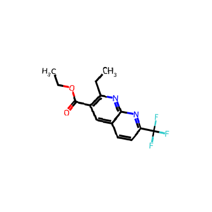 CCOC(=O)c1cc2ccc(C(F)(F)F)nc2nc1CC